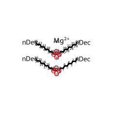 CCCCCCCCCCCCCCCCCCOP(=O)([O-])OCCCCCCCCCCCCCCCCCC.CCCCCCCCCCCCCCCCCCOP(=O)([O-])OCCCCCCCCCCCCCCCCCC.[Mg+2]